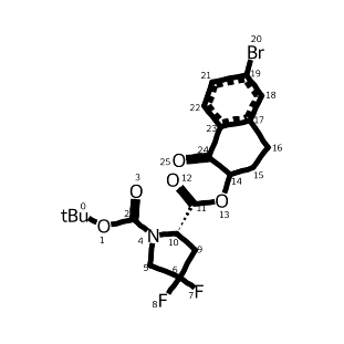 CC(C)(C)OC(=O)N1CC(F)(F)C[C@H]1C(=O)OC1CCc2cc(Br)ccc2C1=O